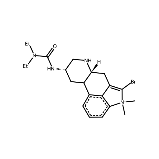 CCN(CC)C(=O)N[C@@H]1CN[C@@H]2CC3=C(Br)[N+](C)(C)c4cccc(c43)C2C1